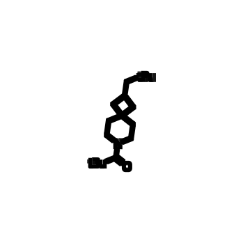 CC(C)(C)CC1CC2(CCN(C(=O)C(C)(C)C)CC2)C1